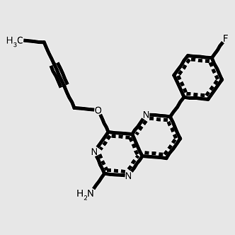 CCC#CCOc1nc(N)nc2ccc(-c3ccc(F)cc3)nc12